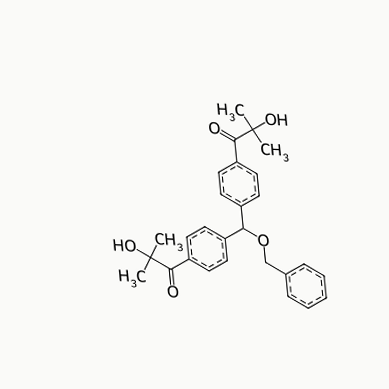 CC(C)(O)C(=O)c1ccc(C(OCc2ccccc2)c2ccc(C(=O)C(C)(C)O)cc2)cc1